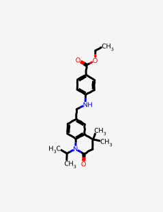 CCOC(=O)c1ccc(NCc2ccc3c(c2)C(C)(C)CC(=O)N3C(C)C)cc1